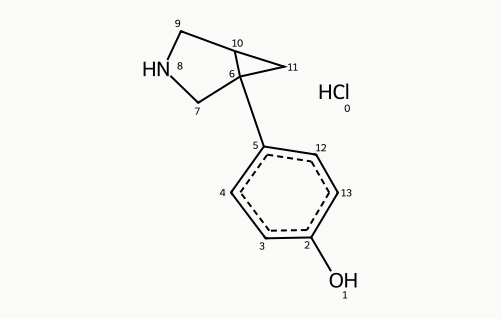 Cl.Oc1ccc(C23CNCC2C3)cc1